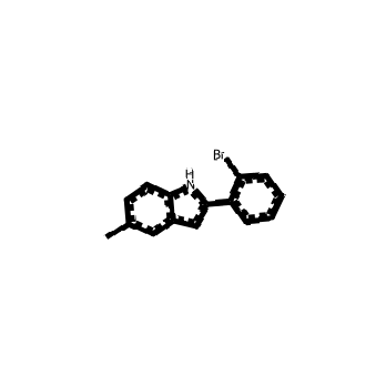 Cc1ccc2[nH]c(-c3ccccc3Br)cc2c1